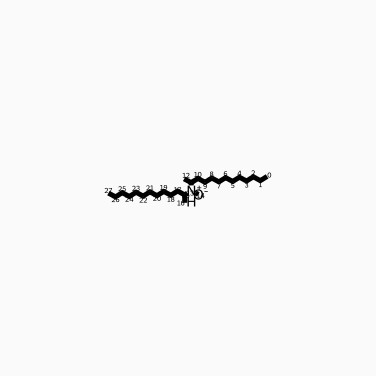 CCCCCCCCCCCC(C)[NH+]([O-])C(C)CCCCCCCCCCC